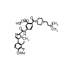 COc1ccc(-c2cnc(C(=O)Nc3ccc(C(=O)N4CCN(CCN(C)C)CC4)c(Cl)c3)n2C)c(F)c1F.O=CO